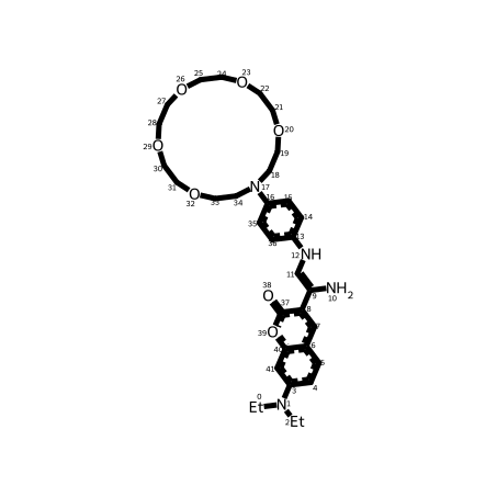 CCN(CC)c1ccc2cc(/C(N)=C/Nc3ccc(N4CCOCCOCCOCCOCCOCC4)cc3)c(=O)oc2c1